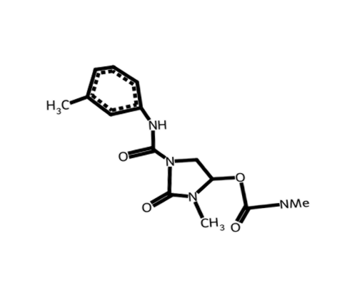 CNC(=O)OC1CN(C(=O)Nc2cccc(C)c2)C(=O)N1C